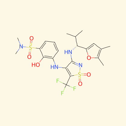 Cc1cc([C@H](NC2=NS(=O)(=O)C(C(F)(F)F)=C2Nc2cccc(S(=O)(=O)N(C)C)c2O)C(C)C)oc1C